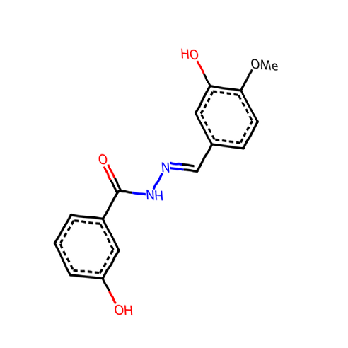 COc1ccc(C=NNC(=O)c2cccc(O)c2)cc1O